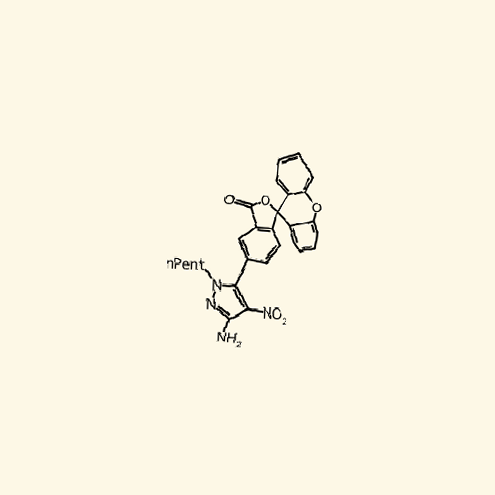 CCCCCn1nc(N)c([N+](=O)[O-])c1-c1ccc2c(c1)C(=O)OC21c2ccccc2Oc2ccccc21